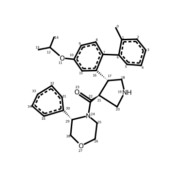 Cc1ccccc1-c1ccc(OC(C)C)cc1[C@@H]1CNC[C@H]1C(=O)N1CCOC[C@@H]1c1ccccc1